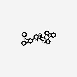 c1ccc(-n2c3ccccc3c3ccc(-c4ccc5oc6c(-c7cccc8c9ccccc9n(-c9ccccc9)c78)cncc6c5n4)cc32)cc1